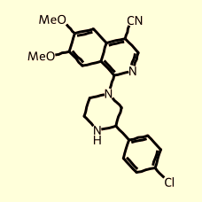 COc1cc2c(C#N)cnc(N3CCNC(c4ccc(Cl)cc4)C3)c2cc1OC